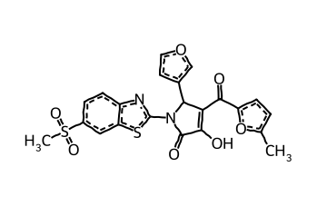 Cc1ccc(C(=O)C2=C(O)C(=O)N(c3nc4ccc(S(C)(=O)=O)cc4s3)C2c2ccoc2)o1